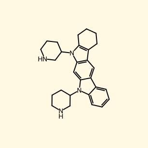 c1ccc2c(c1)c1cc3c4c(n(C5CCCNC5)c3cc1n2C1CCCNC1)CCCC4